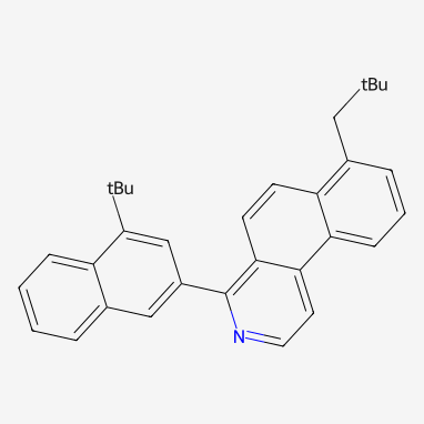 CC(C)(C)Cc1cccc2c1ccc1c(-c3cc(C(C)(C)C)c4ccccc4c3)nccc12